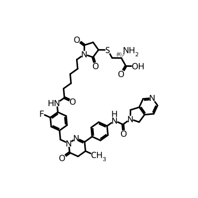 CC1CC(=O)N(Cc2ccc(NC(=O)CCCCCN3C(=O)CC(SC[C@H](N)C(=O)O)C3=O)c(F)c2)N=C1c1ccc(NC(=O)N2Cc3ccncc3C2)cc1